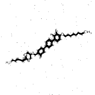 CCCCCCCCOc1ccc(-c2ccc(-c3ccc(COC4COC(CCCCC)OC4)c(F)c3)cc2)c(F)c1F